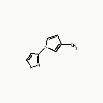 Cc1ccn(C2=N[N]C=C2)c1